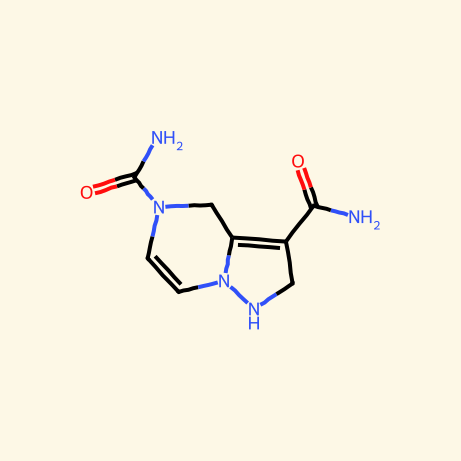 NC(=O)C1=C2CN(C(N)=O)C=CN2NC1